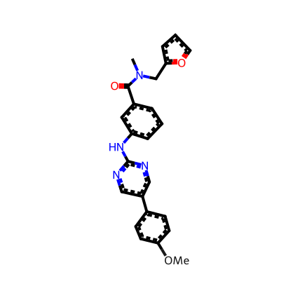 COc1ccc(-c2cnc(Nc3cccc(C(=O)N(C)Cc4ccco4)c3)nc2)cc1